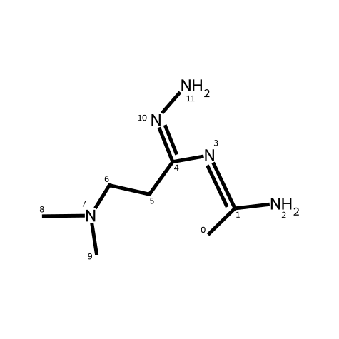 C/C(N)=N\C(CCN(C)C)=N/N